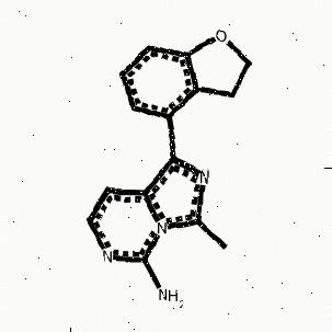 Cc1nc(-c2cccc3c2CCO3)c2ccnc(N)n12